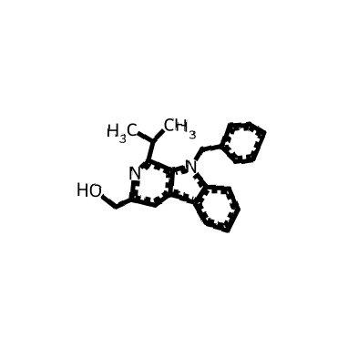 CC(C)c1nc(CO)cc2c3ccccc3n(Cc3ccccc3)c12